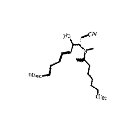 C=C(CCCCCCCCCCCCCCC)N(C)[C@@H](CC#N)C(O)/C=C/CCCCCCCCCCCCC